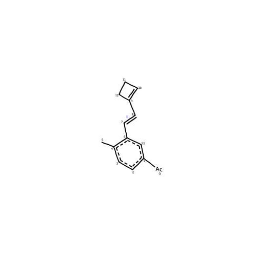 CC(=O)c1ccc(C)c(/C=C/C2=CCC2)c1